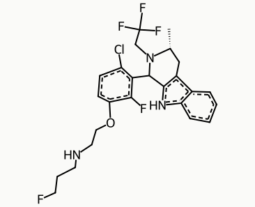 C[C@@H]1Cc2c([nH]c3ccccc23)C(c2c(Cl)ccc(OCCNCCCF)c2F)N1CC(F)(F)F